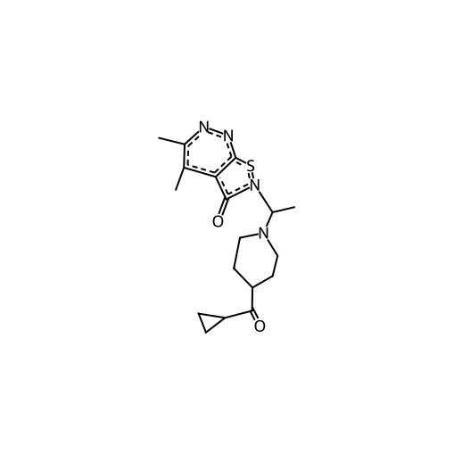 Cc1nnc2sn(C(C)N3CCC(C(=O)C4CC4)CC3)c(=O)c2c1C